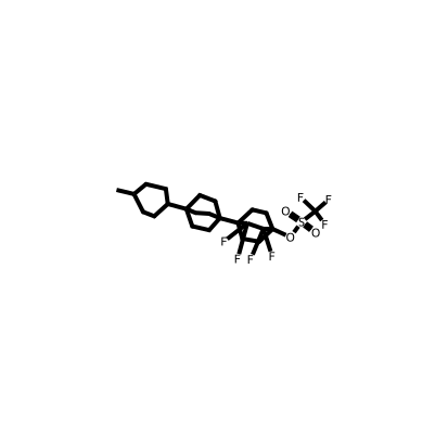 CC1CCC(C23CCC(C45CCC(OS(=O)(=O)C(F)(F)F)(CC4)C(F)(F)C5(F)F)(CC2)CC3)CC1